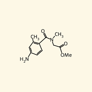 COC(=O)CN(C)C(=O)c1ccc(N)cc1C